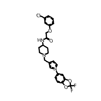 O=C(COc1cccc(Cl)c1)NC1CCN(Cc2ccn(-c3ccc4c(c3)OC(F)(F)O4)c2)CC1